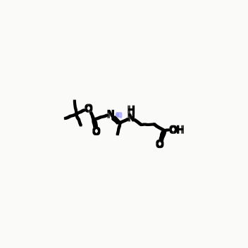 C/C(=N\C(=O)OC(C)(C)C)NCCC(=O)O